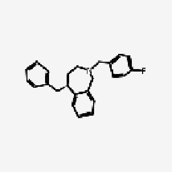 Fc1ccc(CN2CC[C@H](Cc3ccccc3)c3ccccc3C2)cc1